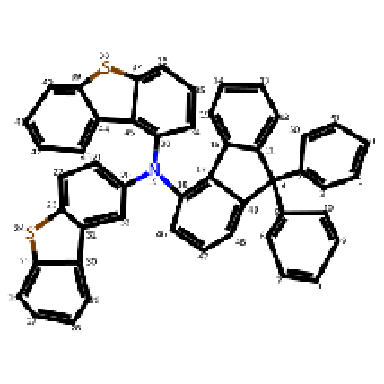 c1ccc(C2(c3ccccc3)c3ccccc3-c3c(N(c4ccc5sc6ccccc6c5c4)c4cccc5sc6ccccc6c45)cccc32)cc1